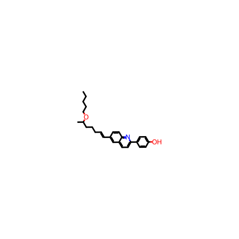 CCCCCOC(C)CCC/C=C/c1ccc2nc(-c3ccc(O)cc3)ccc2c1